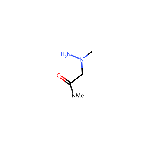 CNC(=O)CN(C)N